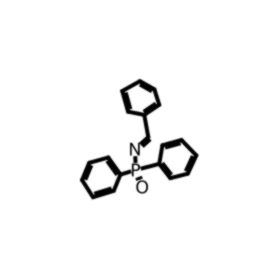 O=P(N=Cc1ccccc1)(c1ccccc1)c1ccccc1